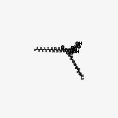 CCCCCCCCCCCCCCCC(=O)OCC(COP(=O)(O)OCC(=O)O)OC(=O)CCCCCCCCCCCCCCC